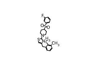 Cc1cccc(Cc2csc(N3CCC(S(=O)(=O)c4cccc(F)c4)CC3)n2)c1C